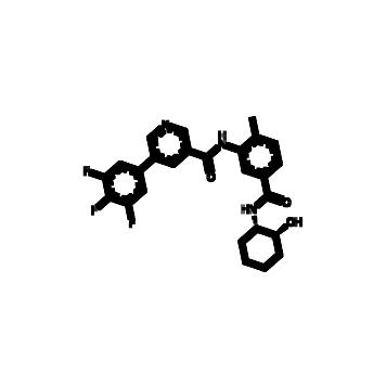 Cc1ccc(C(=O)N[C@H]2CCCC[C@@H]2O)cc1NC(=O)c1cncc(-c2cc(F)c(F)c(F)c2)c1